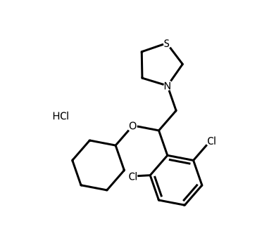 Cl.Clc1cccc(Cl)c1C(CN1CCSC1)OC1CCCCC1